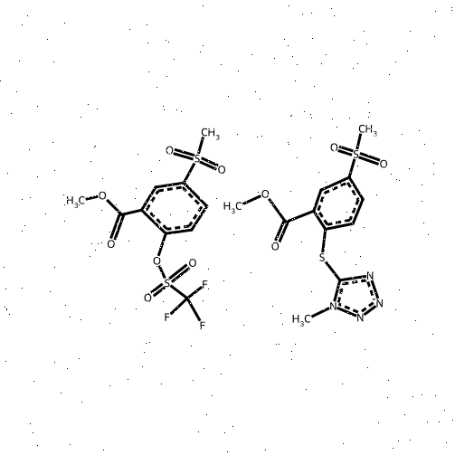 COC(=O)c1cc(S(C)(=O)=O)ccc1OS(=O)(=O)C(F)(F)F.COC(=O)c1cc(S(C)(=O)=O)ccc1Sc1nnnn1C